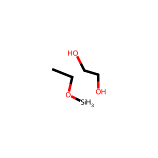 CCO[SiH3].OCCO